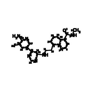 CNC(=O)c1ccnc2c(CCNc3cc(-c4cnc(N)c(F)c4)ncn3)cccc12